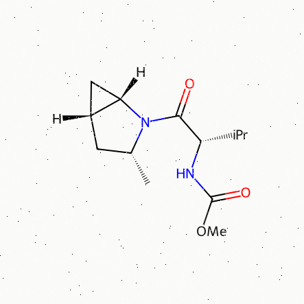 COC(=O)N[C@H](C(=O)N1[C@H](C)C[C@@H]2C[C@@H]21)C(C)C